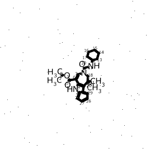 CC(C)OC(=O)C1=CN(C(=O)NC2CCCCC2)CC(C)(C)c2c1[nH]c1ccccc21